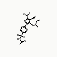 CCC(C)Sc1c(C#N)c(C(F)F)nn1-c1ccc(S(=O)(=O)NC(C)=O)cn1